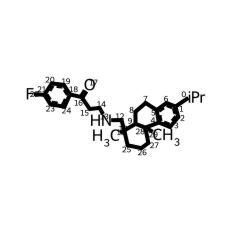 CC(C)c1ccc2c(c1)CCC1C(C)(CNCCC(=O)c3ccc(F)cc3)CCCC21C